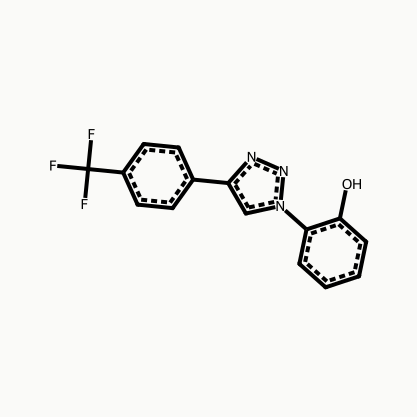 Oc1ccccc1-n1cc(-c2ccc(C(F)(F)F)cc2)nn1